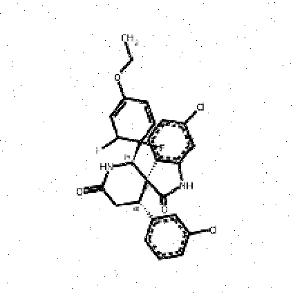 CCOC1=CC(F)C(F)([C@@H]2NC(=O)C[C@@H](c3cccc(Cl)c3)[C@]23C(=O)Nc2cc(Cl)ccc23)C=C1